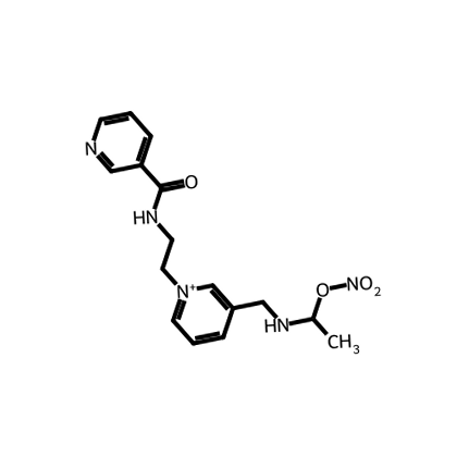 CC(NCc1ccc[n+](CCNC(=O)c2cccnc2)c1)O[N+](=O)[O-]